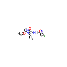 COc1cccn2c(=O)c(CCN3CCC(c4onc5cc(F)ccc45)CC3)c(C)nc12